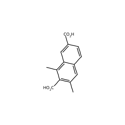 Cc1cc2ccc(C(=O)O)cc2c(C)c1C(=O)O